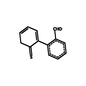 O=[C]c1ccccc1C1=CC=CCC1=S